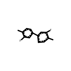 Cc1ccc(-c2ccc(C)c(F)c2)cc1F